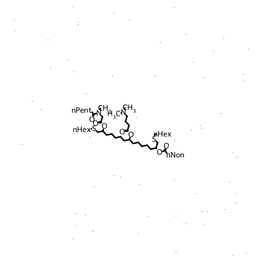 CCCCCCCCCC(=O)OC(CCCCCC(CCCCCC(CSCCCCCC)OC(=O)CN(C)C(=O)CCCCC)OC(=O)CCCN(C)C)CSCCCCCC